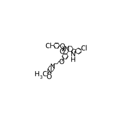 CC(=O)N1CCN(CCCOc2ccc(C3c4[nH]c5ccc(Cl)cc5c4CCN3C(=O)Oc3ccc(Cl)cc3)cc2)CC1